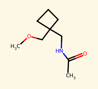 COCC1(CNC(C)=O)CCC1